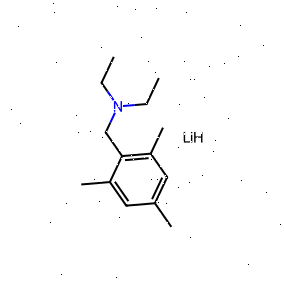 CCN(CC)Cc1c(C)cc(C)cc1C.[LiH]